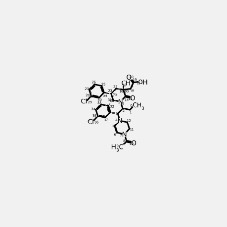 CCC(CN1CCN(C(C)=O)CC1)N1C(=O)[C@@](C)(CC(=O)O)C[C@H](c2cccc(Cl)c2)[C@H]1c1ccc(Cl)cc1